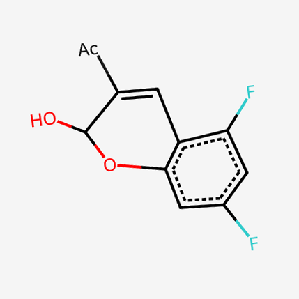 CC(=O)C1=Cc2c(F)cc(F)cc2OC1O